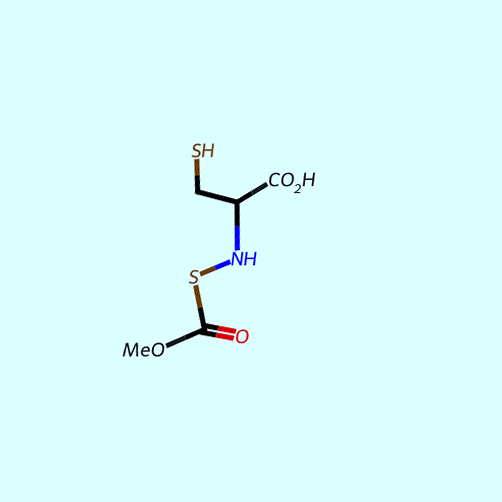 COC(=O)SNC(CS)C(=O)O